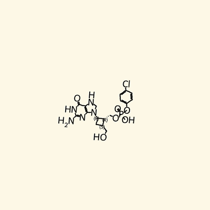 Nc1nc2c(c(=O)[nH]1)NCN2[C@@H]1C[C@H](CO)[C@H]1COP(=O)(O)Oc1ccc(Cl)cc1